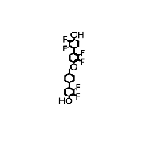 Oc1ccc(-c2ccc(OCC3CCC(c4ccc(O)c(F)c4F)CC3)c(F)c2F)c(F)c1F